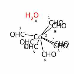 O.O=[CH][Co]([CH]=O)([CH]=O)([CH]=O)([CH]=O)([CH]=O)([CH]=O)[CH]=O